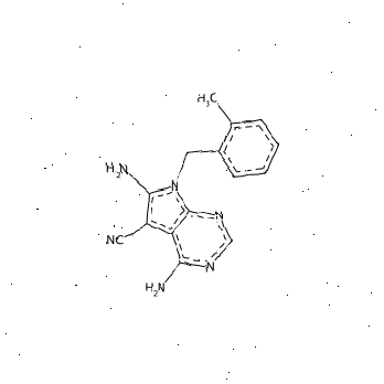 Cc1ccccc1Cn1c(N)c(C#N)c2c(N)ncnc21